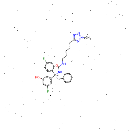 Cn1nnc(CCCCCNC(=O)N[C@](Cc2ccccc2)(c2ccc(F)cc2)c2cc(O)cc(F)c2)n1